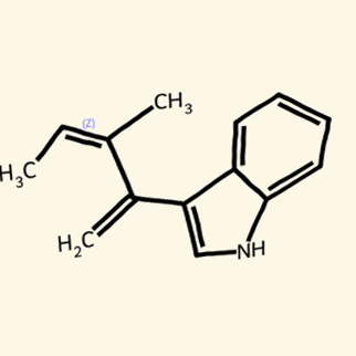 C=C(/C(C)=C\C)c1c[nH]c2ccccc12